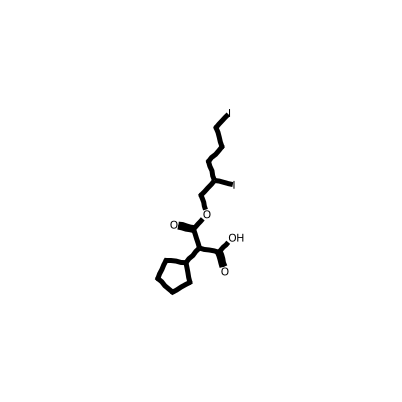 O=C(O)C(C(=O)OCC(I)CCCI)C1CCCC1